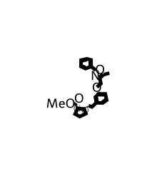 COC(=O)[C@@H]1CCC[C@H]1CCc1cccc(OCc2nc(-c3ccccc3)oc2C)c1